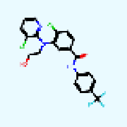 O=C(Nc1ccc(C(F)(F)F)cc1)c1ccc(Cl)c(N(CCO)c2ncccc2Cl)c1